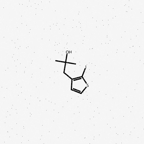 CC(C)(O)Cc1ccsc1I